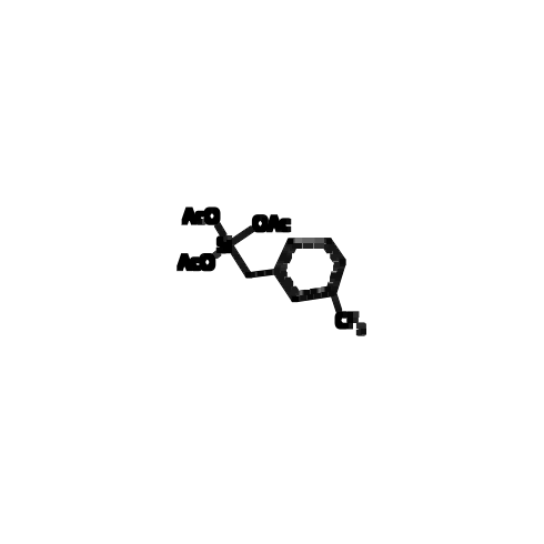 CC(=O)O[Si](Cc1cccc(C(F)(F)F)c1)(OC(C)=O)OC(C)=O